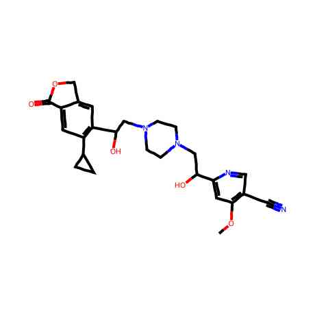 COc1cc(C(O)CN2CCN(CC(O)c3cc4c(cc3C3CC3)C(=O)OC4)CC2)ncc1C#N